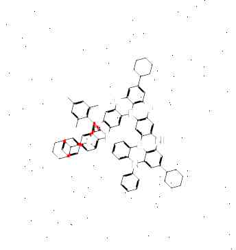 Cc1cc(C)c(N2c3cc4c(cc3B3c5ccccc5N(c5ccccc5)c5cc(C6CCCCC6)cc2c53)B2c3cc5c(cc3Oc3cc(C6CCCCC6)cc(c32)O4)Nc2cc(C3CCCCC3)cc3c2B5c2ccccc2N3c2ccccc2)c(C)c1